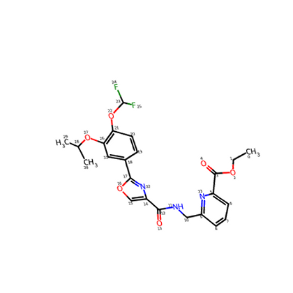 CCOC(=O)c1cccc(CNC(=O)c2coc(-c3ccc(OC(F)F)c(OC(C)C)c3)n2)n1